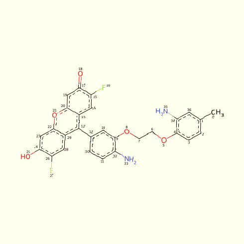 Cc1ccc(OCCOc2cc(-c3c4cc(F)c(=O)cc-4oc4cc(O)c(F)cc34)ccc2N)c(N)c1